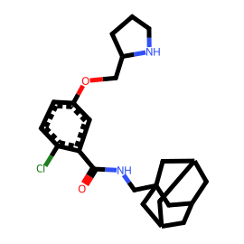 O=C(NCC12CC3CC(CC(C3)C1)C2)c1cc(OCC2CCCN2)ccc1Cl